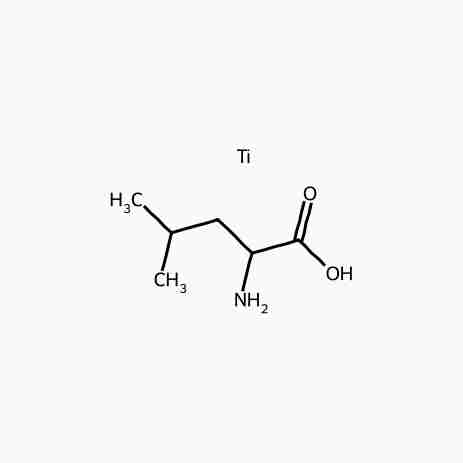 CC(C)CC(N)C(=O)O.[Ti]